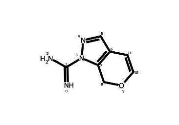 N=C(N)n1ncc2c1COC=C2